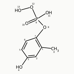 Cc1cc(O)ccc1OP(=O)(O)OO